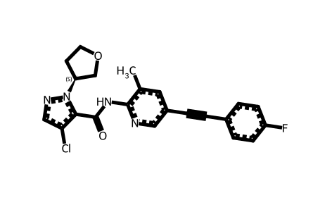 Cc1cc(C#Cc2ccc(F)cc2)cnc1NC(=O)c1c(Cl)cnn1[C@H]1CCOC1